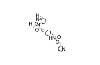 CN(C(=O)/C=C/c1ccc(CNC(=O)OCc2cccnc2)cc1)c1ccccc1N